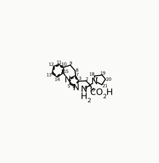 NC(Cc1ncn2c1CCc1ccccc1-2)(C(=O)O)N1CCCC1